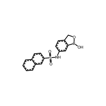 O=S(=O)(Nc1ccc2c(c1)B(O)OC2)c1ccc2ccccc2c1